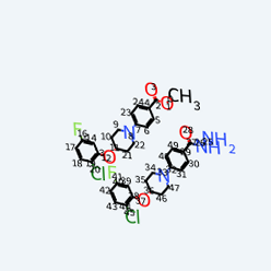 COC(=O)c1ccc(N2CCC(Oc3cc(F)ccc3Cl)CC2)cc1.NNC(=O)c1ccc(N2CCC(Oc3cc(F)ccc3Cl)CC2)cc1